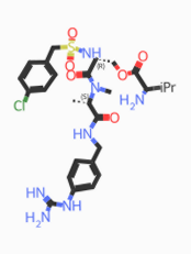 CC(C)C(N)C(=O)OC[C@@H](NS(=O)(=O)Cc1ccc(Cl)cc1)C(=O)N(C)[C@@H](C)C(=O)NCc1ccc(NC(=N)N)cc1